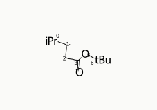 CC(C)[CH]CC(=O)OC(C)(C)C